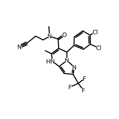 CC1=C(C(=O)N(C)CCC#N)C(c2ccc(Cl)c(Cl)c2)n2nc(C(F)(F)F)cc2N1